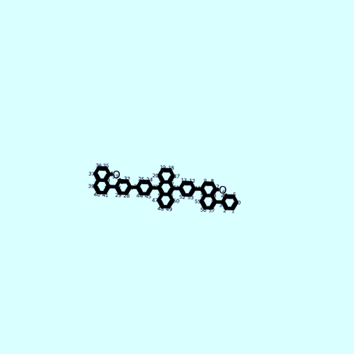 c1ccc2c(c1)Oc1ccc(-c3ccc(-c4c5ccccc5c(-c5ccc(-c6ccc7c(c6)Oc6cccc8cccc-7c68)cc5)c5ccccc45)cc3)c3cccc-2c13